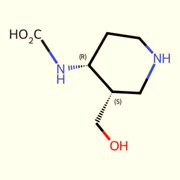 O=C(O)N[C@@H]1CCNC[C@@H]1CO